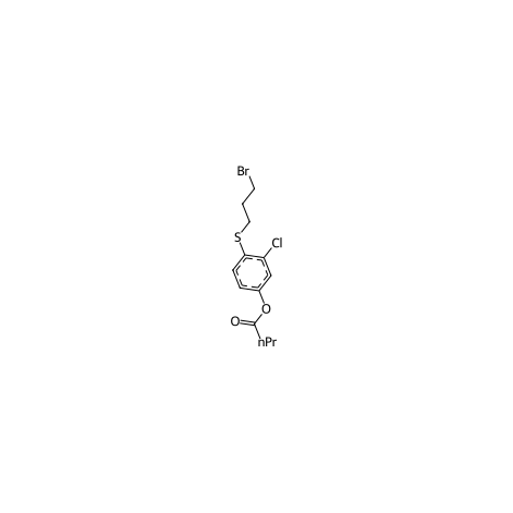 CCCC(=O)Oc1ccc(SCCCBr)c(Cl)c1